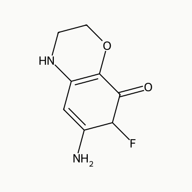 NC1=CC2=C(OCCN2)C(=O)C1F